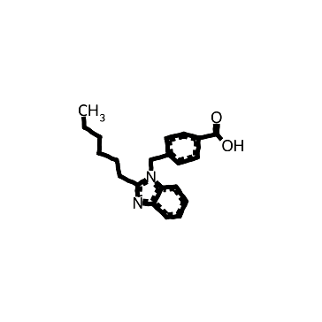 CCCCCCc1nc2ccccc2n1Cc1ccc(C(=O)O)cc1